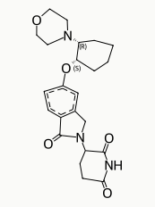 O=C1CCC(N2Cc3cc(O[C@H]4CCCC[C@H]4N4CCOCC4)ccc3C2=O)C(=O)N1